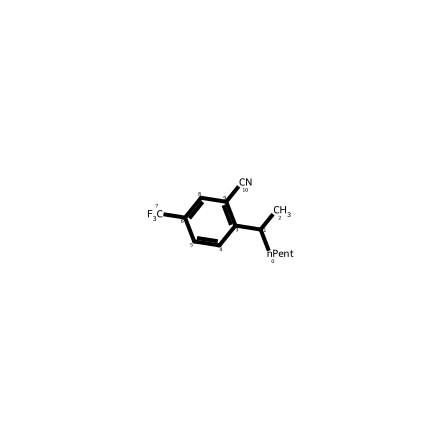 CCCCCC(C)c1ccc(C(F)(F)F)cc1C#N